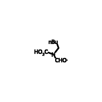 CCCCCN([C]=O)C(=O)O